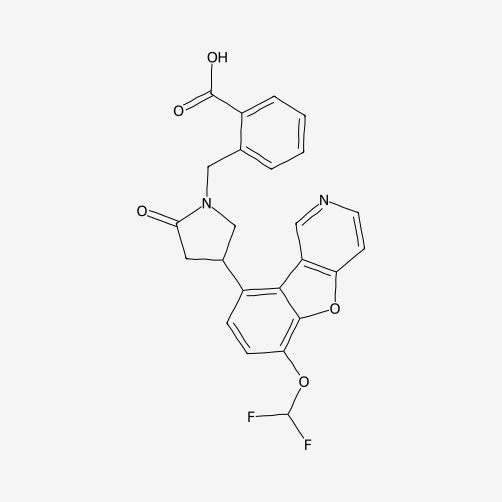 O=C(O)c1ccccc1CN1CC(c2ccc(OC(F)F)c3oc4ccncc4c23)CC1=O